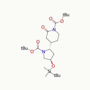 CC(C)(C)OC(=O)N1CCC([C@@H]2C[C@@H](O[Si](C)(C)C(C)(C)C)CN2C(=O)OC(C)(C)C)CC1=O